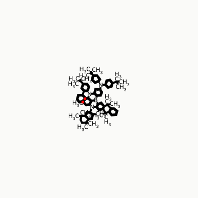 Cc1cc2c3c(c1)N(c1ccc(C(C)(C)C)cc1-c1ccccc1)c1cc(N(c4ccc(C(C)(C)C)cc4)c4ccc(C(C)(C)C)cc4)ccc1B3c1cc3c(cc1N2c1cc2c(cc1C)C(C)(C)CCC2(C)C)C(C)(C)c1ccccc1C3(C)C